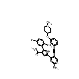 Cc1ccc(Cl)cc1-c1[nH]c(-c2nc(N)ncc2C#Cc2cccc(OC3CCN(C)CC3)c2)cc1C(N)=O